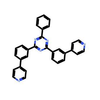 c1ccc(-c2nc(-c3cccc(-c4ccncc4)c3)nc(-c3cccc(-c4ccncc4)c3)n2)cc1